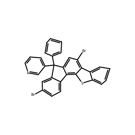 Brc1ccc2c(c1)C(c1ccccc1)(c1cccnc1)c1cc(Br)c3c(sc4ccccc43)c1-2